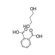 O=C(O)c1ccccc1C(=O)O.OCCCO